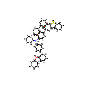 c1ccc(-c2ccc(-c3ccccc3N(c3ccc(-c4ccc5sc6ccccc6c5c4)cc3)c3ccc(-c4cccc5c4oc4ccccc45)cc3)cc2)cc1